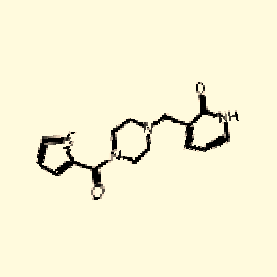 O=C(c1cccs1)N1CCN(Cc2ccc[nH]c2=O)CC1